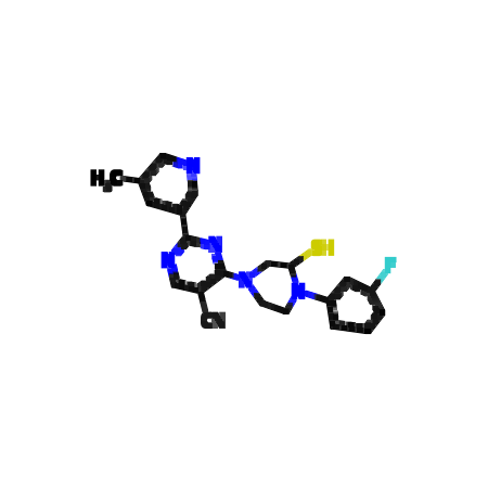 Cc1cncc(-c2ncc(C#N)c(N3CCN(c4cccc(F)c4)C(S)C3)n2)c1